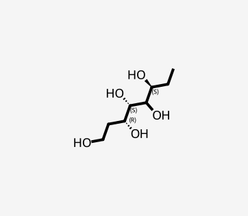 CC[C@H](O)C(O)[C@@H](O)[C@H](O)CCO